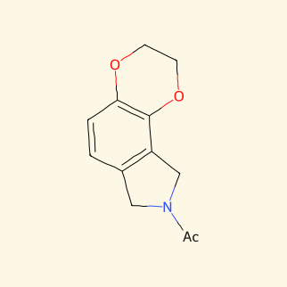 CC(=O)N1Cc2ccc3c(c2C1)OCCO3